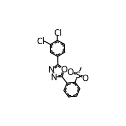 CS(=O)(=O)c1ccccc1-c1nnc(-c2ccc(Cl)c(Cl)c2)o1